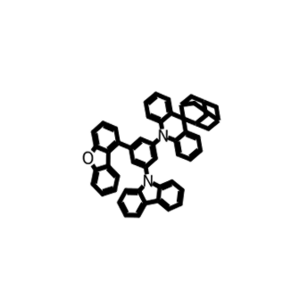 c1ccc2c(c1)N(c1cc(-c3cccc4oc5ccccc5c34)cc(-n3c4ccccc4c4ccccc43)c1)c1ccccc1C21C2CC3CC(C2)CC1C3